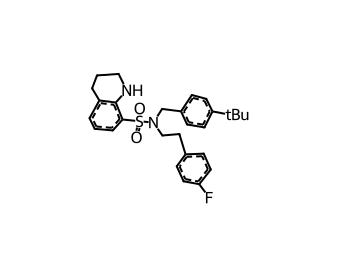 CC(C)(C)c1ccc(CN(CCc2ccc(F)cc2)S(=O)(=O)c2cccc3c2NCCC3)cc1